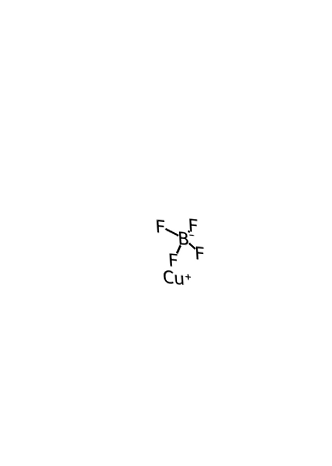 F[B-](F)(F)F.[Cu+]